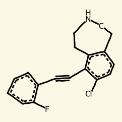 Fc1ccccc1C#Cc1c(Cl)ccc2c1CCNCC2